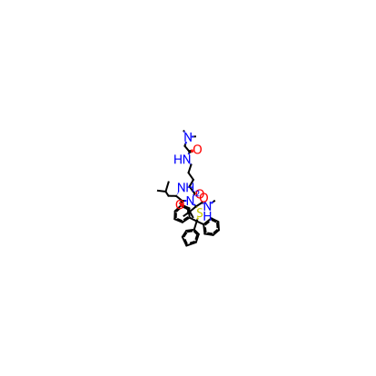 CNC(=O)[C@@](SC(c1ccccc1)(c1ccccc1)c1ccccc1)(N(C(=O)CCCCNC(=O)CN(C)C)C(=O)[C@@H](N)CC(C)C)C(C)(C)C